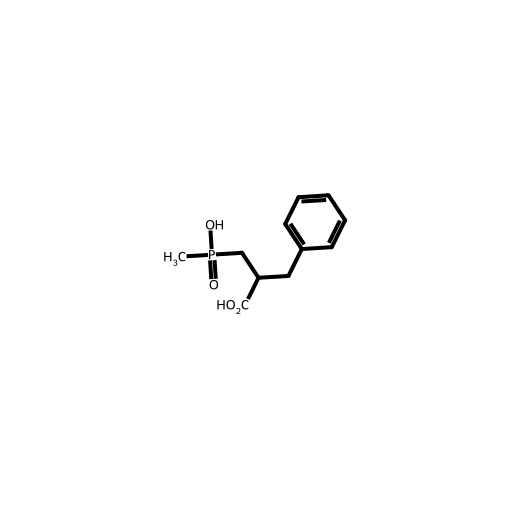 CP(=O)(O)CC(Cc1ccccc1)C(=O)O